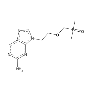 CP(C)(=O)COCCn1cnc2cnc(N)nc21